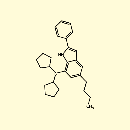 CCCCc1cc(N(C2CCCC2)C2CCCC2)c2[nH]c(-c3ccccc3)cc2c1